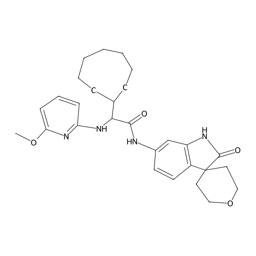 COc1cccc(NC(C(=O)Nc2ccc3c(c2)NC(=O)C32CCOCC2)C2CCCCCCC2)n1